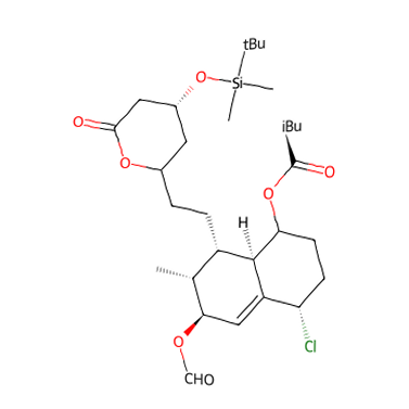 CC[C@H](C)C(=O)OC1CC[C@H](Cl)C2=C[C@@H](OC=O)[C@H](C)[C@H](CCC3C[C@@H](O[Si](C)(C)C(C)(C)C)CC(=O)O3)[C@H]21